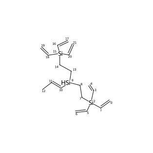 C=C[Si](C=C)(C=C)CC[SiH](C=CC)CC[Si](C=C)(C=C)C=C